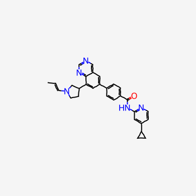 CC=CN1CCC(c2cc(-c3ccc(C(=O)Nc4cc(C5CC5)ccn4)cc3)cc3cncnc23)C1